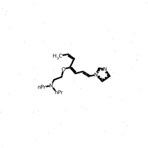 C\C=C/C(=C\C=C\n1ccnc1)OCCN(CCC)CCC